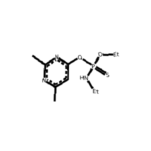 CCNP(=S)(OCC)Oc1cc(C)nc(C)n1